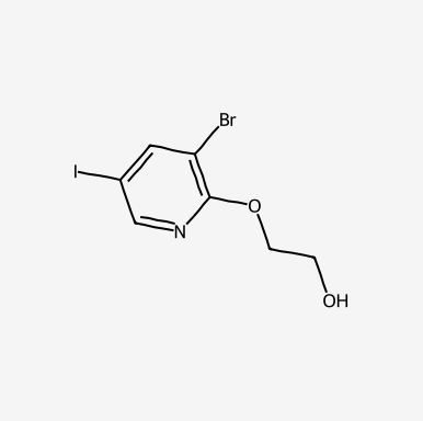 OCCOc1ncc(I)cc1Br